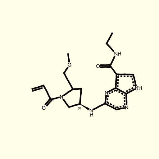 C=CC(=O)N1C[C@H](Nc2cnc3[nH]cc(C(=O)NCC)c3n2)CC1COC